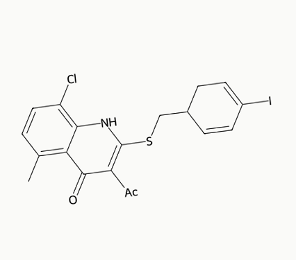 CC(=O)c1c(SCC2C=CC(I)=CC2)[nH]c2c(Cl)ccc(C)c2c1=O